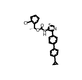 C[C@@H](OC(=O)Nc1scnc1-c1ccc(-c2ccc(C3CC3)cc2)cc1)c1ccccc1Cl